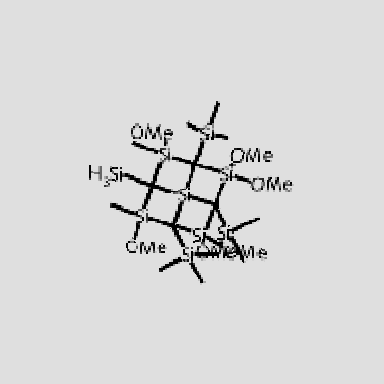 CO[Si]1(C)C2([SiH3])[Si](C)(OC)C3([Si](C)(C)C)[Si](OC)(OC)C4([Si](C)(C)C)[Si](OC)(OC)C1([Si](C)(C)C)[Si]234